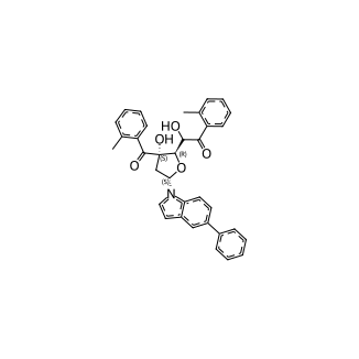 Cc1ccccc1C(=O)C(O)[C@H]1O[C@H](n2ccc3cc(-c4ccccc4)ccc32)C[C@@]1(O)C(=O)c1ccccc1C